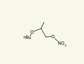 CCCCOC(C)CO[N+](=O)[O-]